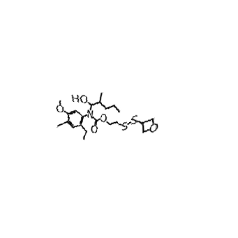 CCCC(C)C(O)N(C(=O)OCCSSC1COC1)c1cc(OC)c(C)cc1CC